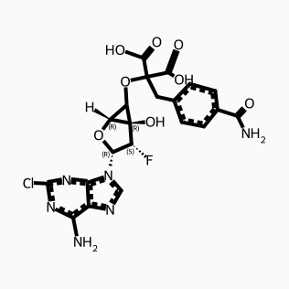 NC(=O)c1ccc(CC(OC2[C@H]3O[C@@H](n4cnc5c(N)nc(Cl)nc54)[C@@H](F)[C@@]23O)(C(=O)O)C(=O)O)cc1